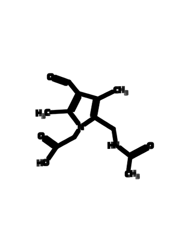 CC(=O)NCc1c(C)c(C=O)c(C)n1CC(=O)O